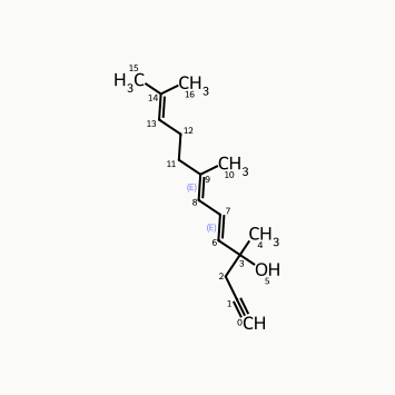 C#CCC(C)(O)/C=C/C=C(\C)CCC=C(C)C